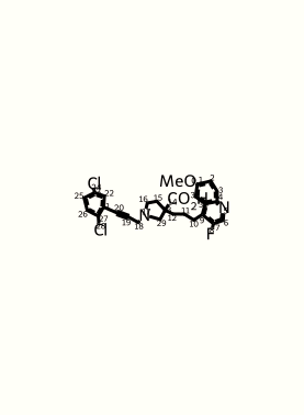 COc1ccc2ncc(F)c(CCCC3(C(=O)O)CCN(CC#Cc4cc(Cl)ccc4Cl)C3)c2c1